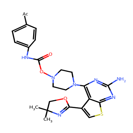 CC(=O)c1ccc(NC(=O)ON2CCN(c3nc(N)nc4scc(C5=NC(C)(C)CO5)c34)CC2)cc1